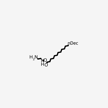 CCCCCCCCCCCCCCCCCCCCCC(=O)ONCCN